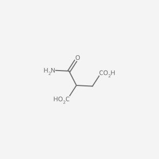 NC(=O)C(CC(=O)O)C(=O)O